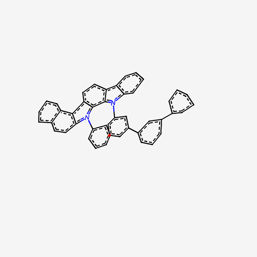 c1ccc(-c2cccc(-c3cccc(-n4c5ccccc5c5ccc6c7c8ccccc8ccc7n(-c7ccccc7)c6c54)c3)c2)cc1